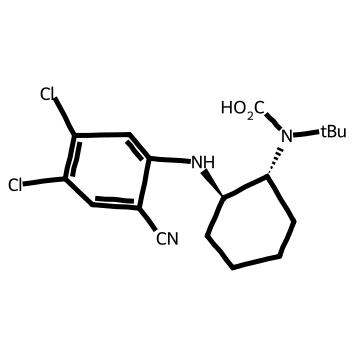 CC(C)(C)N(C(=O)O)[C@@H]1CCCC[C@H]1Nc1cc(Cl)c(Cl)cc1C#N